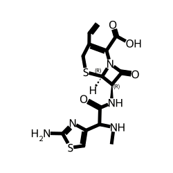 C=CC1=C(C(=O)O)N2C(=O)[C@@H](NC(=O)C(NC)c3csc(N)n3)[C@H]2SC1